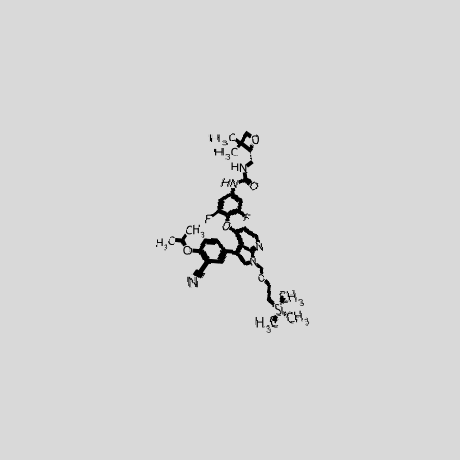 CC(C)Oc1ccc(-c2cn(COCC[Si](C)(C)C)c3nccc(Oc4c(F)cc(NC(=O)NC[C@H]5OCC5(C)C)cc4F)c23)cc1C#N